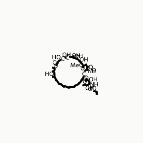 C=CCOC(=O)NC1C(O)C(C)OC(OC2/C=C/C=C/C=C/C=C/C=C/C=C/C=C/C(C)C(O)C(C)C(C)OC(=O)CC(O)CC(O)CCC(O)C(O)CC(O)CC3(OC)CC4OC(=O)NC4C(C2)O3)C1O